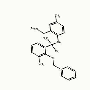 CCC(C)(Pc1ccc(C)cc1CNC)c1cccc(C)c1OCc1ccccc1